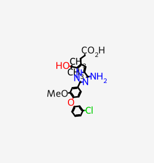 COc1cc(-c2nc(N)c3cc(CCC(=O)O)c(C(C)(C)O)n3n2)ccc1Oc1cccc(Cl)c1